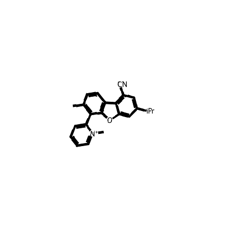 Cc1ccc2c(oc3cc(C(C)C)cc(C#N)c32)c1-c1cccc[n+]1C